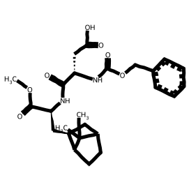 COC(=O)[C@H](C[C@H]1CC2CCC1C2(C)C)NC(=O)[C@H](CC(=O)O)NC(=O)OCc1ccccc1